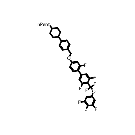 CCCCCC1CCC(c2ccc(COc3ccc(-c4cc(F)c(C(F)(F)Oc5cc(F)c(F)c(F)c5)c(F)c4)c(F)c3)cc2)CC1